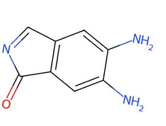 Nc1cc2c(cc1N)C(=O)N=C2